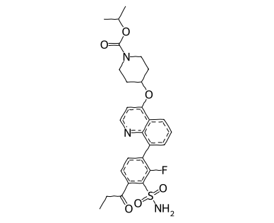 CCC(=O)c1ccc(-c2cccc3c(OC4CCN(C(=O)OC(C)C)CC4)ccnc23)c(F)c1S(N)(=O)=O